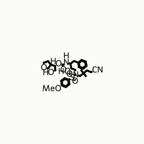 COc1ccc(S(=O)(=O)N(CC(O)C(Cc2ccccc2)NC(=O)O[C@@H]2CO[C@@H]3OCC[C@@H]32)CC(C)(C)CCC#N)cc1